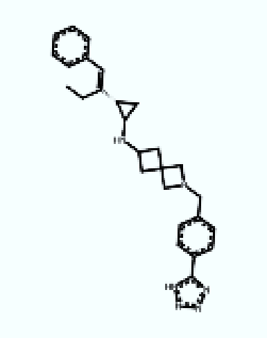 CC/C(=C\c1ccccc1)[C@@H]1C[C@H]1NC1CC2(C1)CN(Cc1ccc(-c3nnn[nH]3)cc1)C2